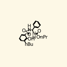 CCCCc1cccc(S(=O)(=O)N[C@H](NC(=O)OCCC)c2ccccc2)c1O